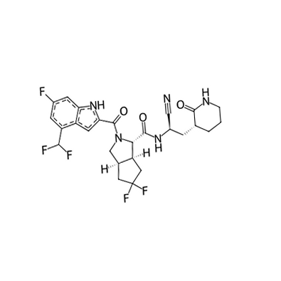 N#C[C@@H](C[C@H]1CCCNC1=O)NC(=O)[C@@H]1[C@H]2CC(F)(F)C[C@H]2CN1C(=O)c1cc2c(C(F)F)cc(F)cc2[nH]1